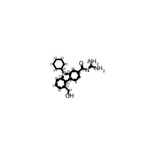 NC(N)=NC(=O)c1ccc2c3c(CO)cccc3n(C3CCCCC3)c2c1